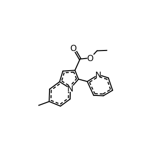 CCOC(=O)c1cc2cc(C)ccn2c1-c1ccccn1